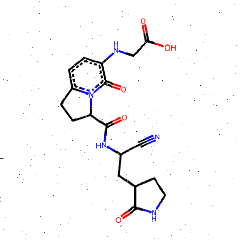 N#CC(CC1CCNC1=O)NC(=O)C1CCc2ccc(NCC(=O)O)c(=O)n21